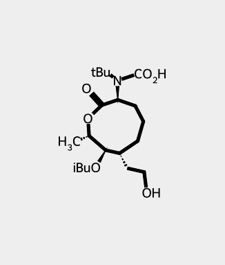 CC(C)CO[C@@H]1[C@@H](CCO)CCC[C@H](N(C(=O)O)C(C)(C)C)C(=O)O[C@H]1C